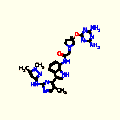 Cc1cnc(Nc2cc(C)n(C)n2)nc1-c1c[nH]c2c(NC(=O)CN3CC[C@H](Oc4nc(N)nc(N)n4)C3)cccc12